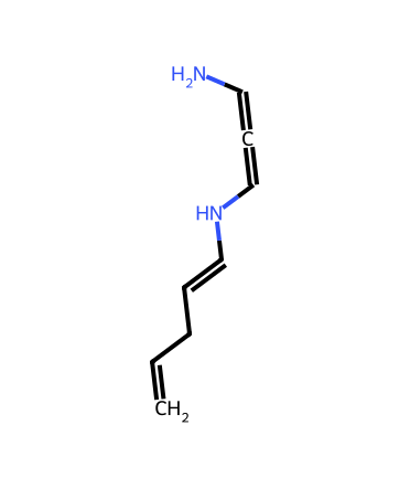 C=CC/C=C/NC=C=CN